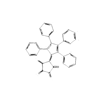 S=C1C(=S)C(=S)C(=C2C(c3ccccc3)=C(c3ccccc3)C(c3ccccc3)=C2c2ccccc2)C1=S